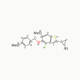 CCC1CC1c1cc2c(F)c(OCc3ccc(OC)cc3)c(OC)cc2s1